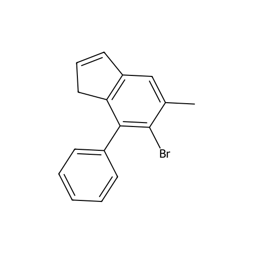 Cc1cc2c(c(-c3ccccc3)c1Br)CC=C2